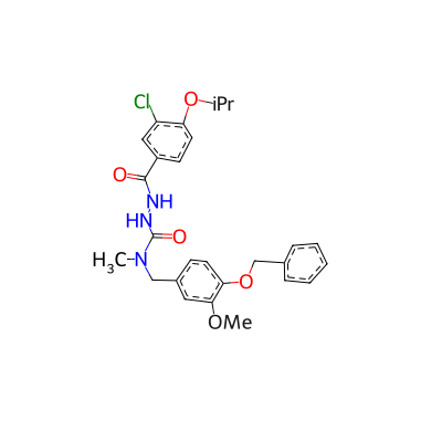 COc1cc(CN(C)C(=O)NNC(=O)c2ccc(OC(C)C)c(Cl)c2)ccc1OCc1ccccc1